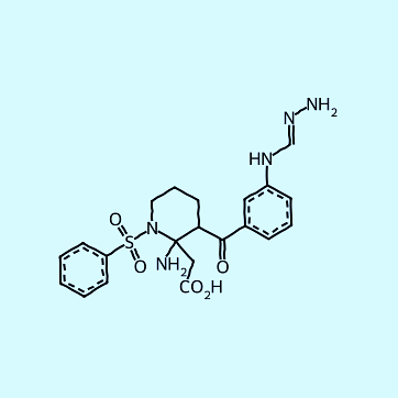 NN=CNc1cccc(C(=O)C2CCCN(S(=O)(=O)c3ccccc3)C2(N)CC(=O)O)c1